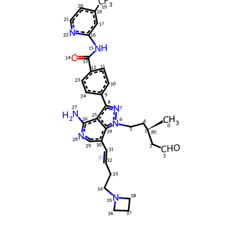 C[C@@H](CC=O)CCn1nc(-c2ccc(C(=O)Nc3cc(C(F)(F)F)ccn3)cc2)c2c(N)ncc(/C=C/CCN3CCC3)c21